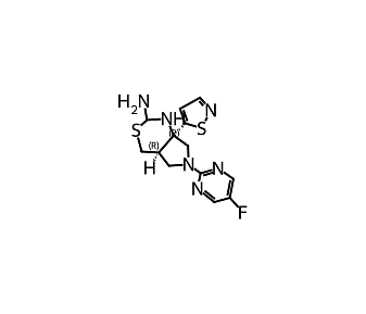 NC1N[C@@]2(c3ccns3)CN(c3ncc(F)cn3)C[C@H]2CS1